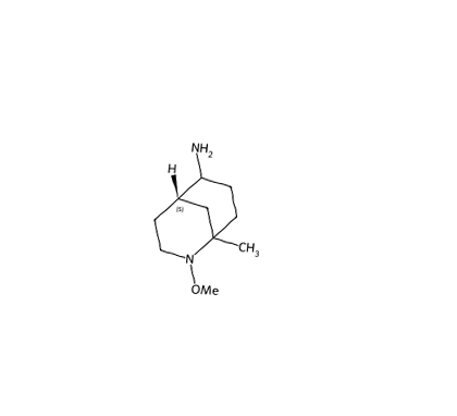 CON1CC[C@H]2CC1(C)CCC2N